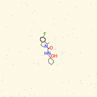 CC1c2cc(F)ccc2CCN1C(=O)CNCC1(O)CCCCC1